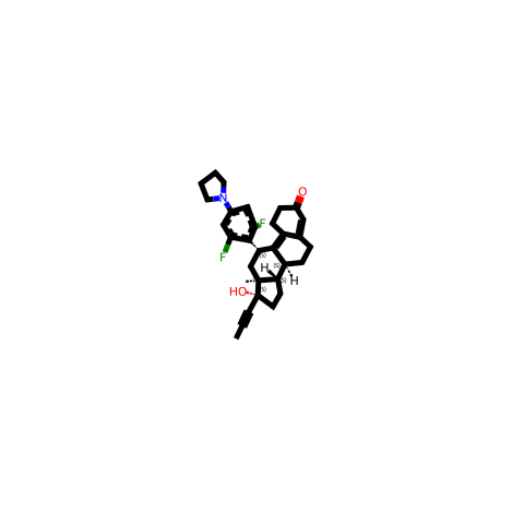 CC#C[C@]1(O)CC[C@H]2[C@@H]3CCC4=CC(=O)CCC4=C3[C@@H](c3c(F)cc(N4CCCC4)cc3F)C[C@@]21C